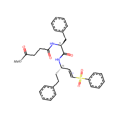 COC(=O)CCC(=O)N[C@@H](Cc1ccccc1)C(=O)N[C@H](/C=C/S(=O)(=O)c1ccccc1)CCc1ccccc1